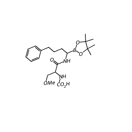 COCC(NC(=O)O)C(=O)NC(CCCc1ccccc1)B1OC(C)(C)C(C)(C)O1